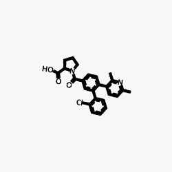 Cc1ccc(-c2ccc(C(=O)N3CCCC3C(=O)O)cc2-c2ccccc2Cl)c(C)n1